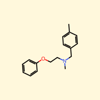 Cc1ccc(CN(C)CCOc2ccccc2)cc1